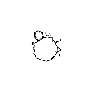 O=C1NS(=O)(=O)c2ccccc2NCCCCC/C=C\[C@@H]2CC12